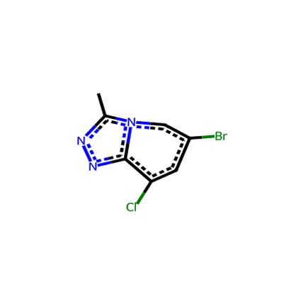 Cc1nnc2c(Cl)cc(Br)cn12